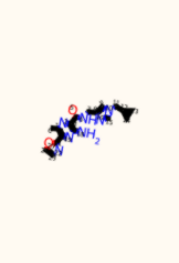 Cc1nc(C(=O)NCc2cn(CC3CC3)cn2)c(N)nc1-c1ncco1